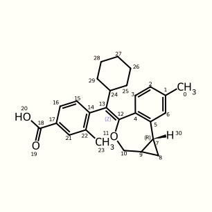 Cc1ccc2c(c1)[C@@H]1CC1CO/C2=C(\c1ccc(C(=O)O)cc1C)C1CCCCC1